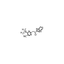 CN(C)c1nc(C[S+]([O-])c2nc3cscc3[nH]2)ncc1C#N